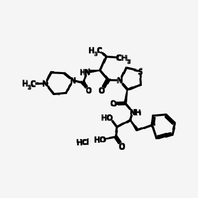 CC(C)[C@H](NC(=O)N1CCN(C)CC1)C(=O)N1CSC[C@H]1C(=O)N[C@@H](Cc1ccccc1)C(O)C(=O)O.Cl